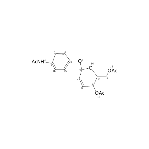 CC(=O)Nc1ccc(OC2C=CC(OC(C)=O)C(COC(C)=O)O2)cc1